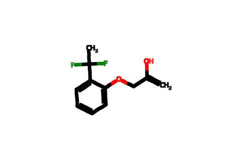 C=C(O)COc1ccccc1C(C)(F)F